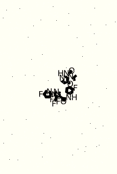 CC(C)n1c(=O)[nH]c2nccc(Oc3ccc(NC4OC4c4cnn(-c5ccc(F)cn5)c4C(F)(F)F)cc3F)c21